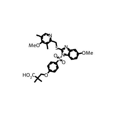 COc1ccc2c(c1)nc(SCc1ncc(C)c(OC)c1C)n2S(=O)(=O)c1ccc(OCC(C)(C)C(=O)O)cc1